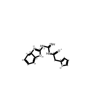 N=C(NC(=O)Cc1cccs1)Nc1nc2ccccc2o1